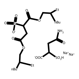 CCCCC(CC)COC(=O)CC(C(=O)OCC(CC)CCCC)S(=O)(=O)[O-].NC(=O)CC(C(=O)[O-])S(=O)(=O)O.[Na+].[Na+]